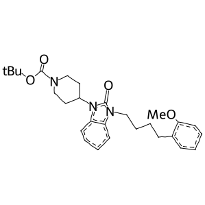 COc1ccccc1CCCCn1c(=O)n(C2CCN(C(=O)OC(C)(C)C)CC2)c2ccccc21